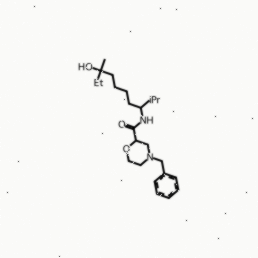 CCC(C)(O)CCCCC(NC(=O)C1CN(Cc2ccccc2)CCO1)C(C)C